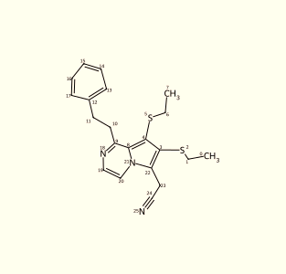 CCSc1c(SCC)c2c(CCc3ccccc3)nccn2c1CC#N